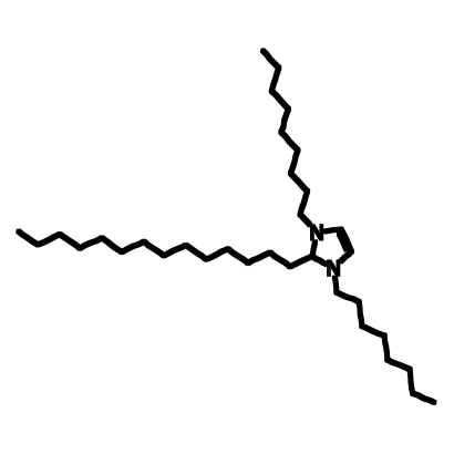 CCCCCCCCCCCCCCC1N(CCCCCCCC)C=CN1CCCCCCCCC